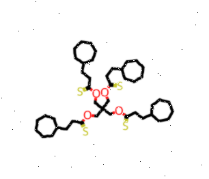 S=C(CCC1CCCCCC1)OCC(COC(=S)CCC1CCCCCC1)(COC(=S)CCC1CCCCCC1)COC(=S)CCC1CCCCCC1